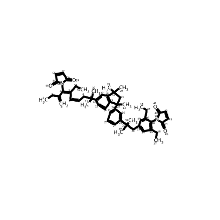 C=C(CC)/C(=C(\C=C/CC(C)(C)c1ccc2c(c1)C(C)(C)CC2(C)c1cccc(C(C)(C)Cc2cc(CC)c(N3C(=O)C=CC3=O)c(CC)c2)c1)CC)N1C(=O)C=CC1=O